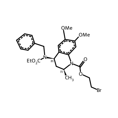 CCOC(=O)N(Cc1ccccc1)[C@@H]1C[C@H](C)N(C(=O)OCCBr)c2cc(OC)c(OC)cc21